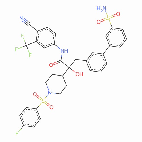 N#Cc1ccc(NC(=O)C(O)(Cc2cccc(-c3cccc(S(N)(=O)=O)c3)c2)C2CCN(S(=O)(=O)c3ccc(F)cc3)CC2)cc1C(F)(F)F